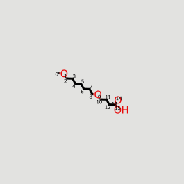 COCCCCCCCOCCCC(=O)O